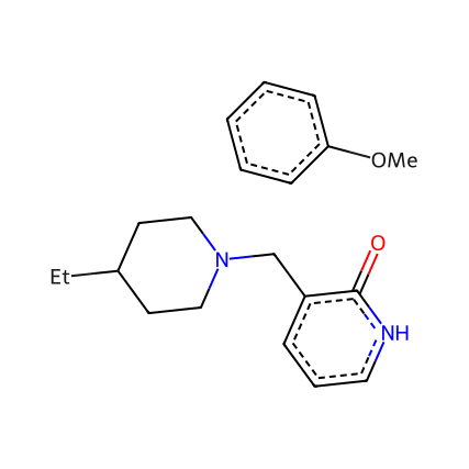 CCC1CCN(Cc2ccc[nH]c2=O)CC1.COc1ccccc1